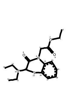 CCOC(=O)CN1C(=O)C(P(CC)CC)Sc2ccccc21